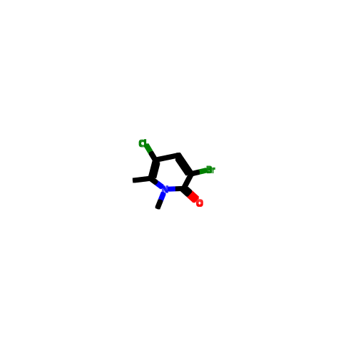 Cc1c(Cl)cc(Br)c(=O)n1C